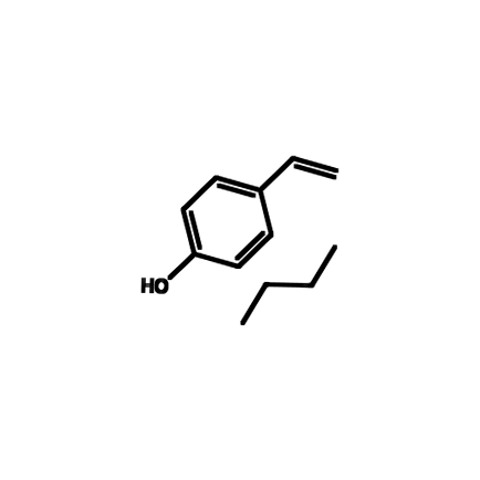 C=Cc1ccc(O)cc1.CCCC